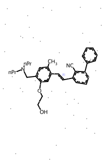 CCCN(CCC)Cc1cc(C)c(/C=C/c2cccc(-c3ccccc3)c2C#N)cc1OCCO